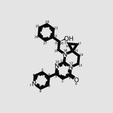 O=c1cc(-c2ccncc2)nc2n1CCC1(CC1)N2C[C@@H](O)c1ccccc1